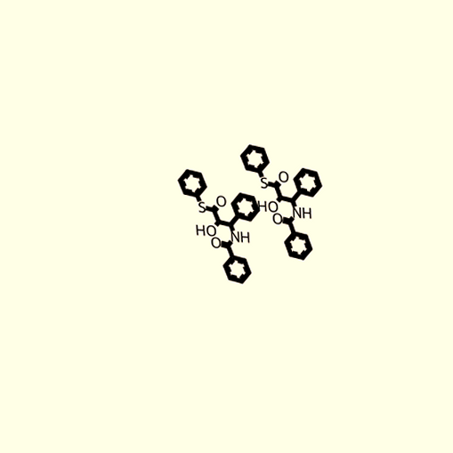 O=C(NC(c1ccccc1)C(O)C(=O)Sc1ccccc1)c1ccccc1.O=C(NC(c1ccccc1)C(O)C(=O)Sc1ccccc1)c1ccccc1